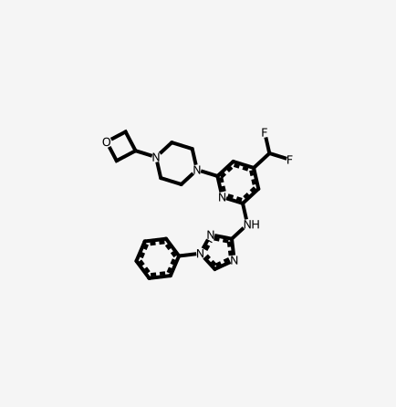 FC(F)c1cc(Nc2ncn(-c3ccccc3)n2)nc(N2CCN(C3COC3)CC2)c1